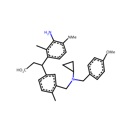 CNc1ccc(C(CC(=O)O)c2ccc(C)c(CN(Cc3ccc(OC)cc3)C3CC3)c2)c(C)c1N